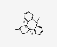 CN1CC[C@@H]2c3ccccc3N(C)c3ccccc3[C@@H]2C1